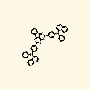 c1ccc(N(c2ccc(-c3nc4c5c(nc(-c6ccc(N(c7ccccc7)c7cccc8ccccc78)cc6)nc5n3)-c3ccccc3-4)cc2)c2cccc3ccccc23)cc1